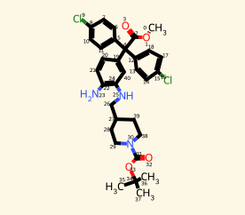 COC(=O)C(c1ccc(Cl)cc1)(c1ccc(Cl)cc1)c1ccc(N)c(NCC2CCN(C(=O)OC(C)(C)C)CC2)c1